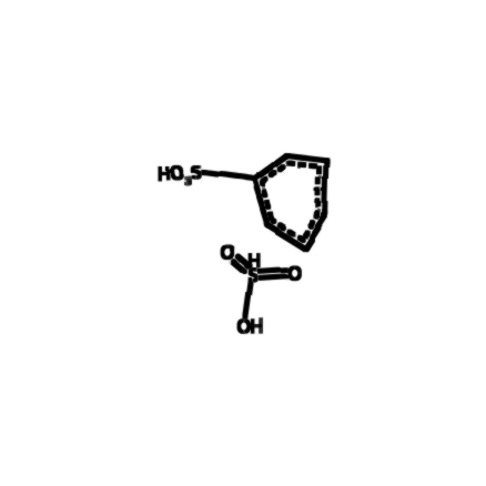 O=S(=O)(O)c1ccccc1.O=[SH](=O)O